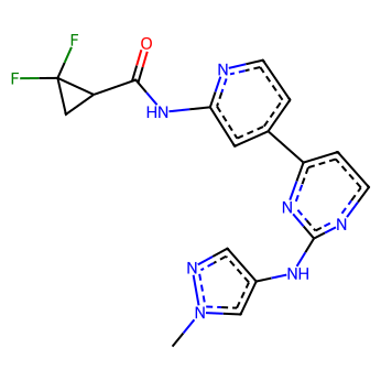 Cn1cc(Nc2nccc(-c3ccnc(NC(=O)C4CC4(F)F)c3)n2)cn1